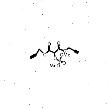 C#CCOC(=O)C(OP(=O)(OC)OC)C(=O)OCC#C